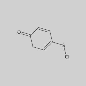 O=C1C=CC(SCl)=CC1